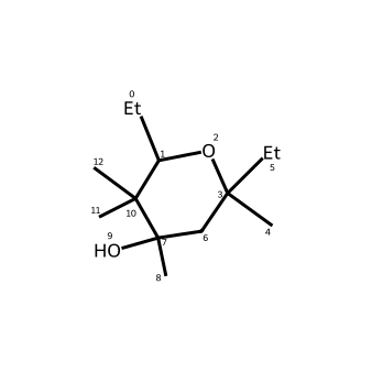 CCC1OC(C)(CC)CC(C)(O)C1(C)C